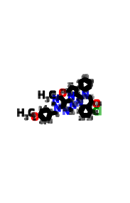 COc1ccc(CN2CN(C)C(=O)c3c2ncnc3N2CCCC2C2=Nc3cccc(Cl)c3C(=O)CN2c2ccccc2)cc1